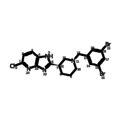 Clc1ccc2[nH]c([C@H]3CCCN(Cc4cc(Br)cc(Br)c4)C3)nc2n1